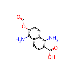 Nc1c(OC=O)ccc2c(N)c(C(=O)O)ccc12